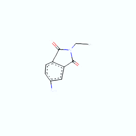 CC(C)CN1C(=O)c2ccc(N)cc2C1=O